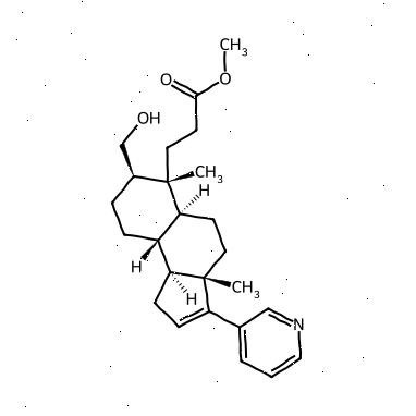 COC(=O)CC[C@@]1(C)[C@H](CO)CC[C@@H]2[C@@H]1CC[C@]1(C)C(c3cccnc3)=CC[C@@H]21